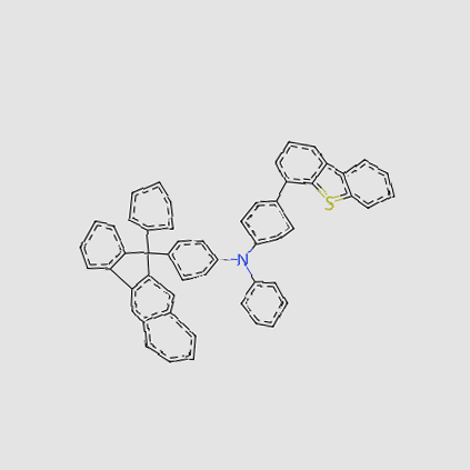 c1ccc(N(c2ccc(-c3cccc4c3sc3ccccc34)cc2)c2ccc(C3(c4ccccc4)c4ccccc4-c4cc5ccccc5cc43)cc2)cc1